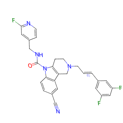 N#Cc1ccc2c(c1)c1c(n2C(=O)NCc2ccnc(F)c2)CCN(C/C=C/c2cc(F)cc(F)c2)C1